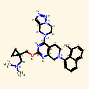 CCc1cccc2cccc(N3CCc4c(nc(OCC5(CN(C)C)CC5)nc4N4CCn5nncc5C4)C3)c12